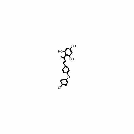 O=C(/C=C/c1ccc(Oc2ccc(Cl)cc2)cc1)c1c(O)cc(O)cc1O